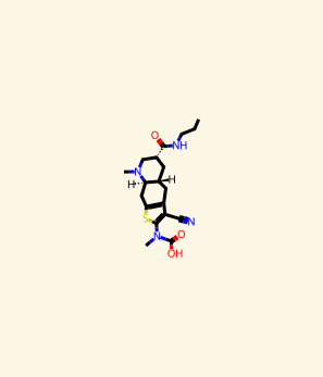 CCCNC(=O)[C@@H]1C[C@@H]2Cc3c(sc(N(C)C(=O)O)c3C#N)C[C@H]2N(C)C1